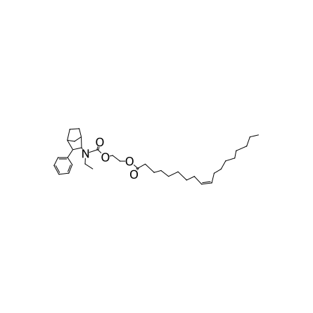 CCCCCCCC/C=C\CCCCCCCC(=O)OCCOC(=O)N(CC)C1C2CCC(C2)C1c1ccccc1